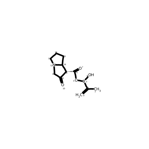 C=C(C)B(O)OC(=O)[C@@H]1C(=O)CN2CCCC12